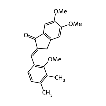 COc1cc2c(cc1OC)C(=O)/C(=C/c1ccc(C)c(C)c1OC)C2